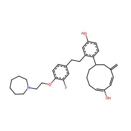 C=C1/C=C\C(O)=C/CCCC(c2ccc(O)cc2CCc2ccc(OCCN3CCCCCC3)c(F)c2)C1